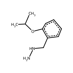 CC(C)Oc1ccccc1CNN